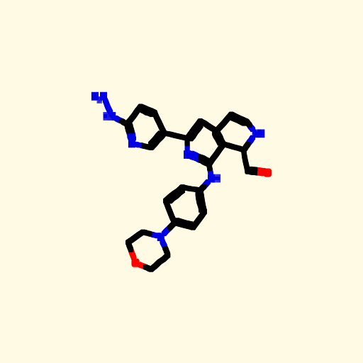 NNc1ccc(-c2cc3c(c(Nc4ccc(N5CCOCC5)cc4)n2)C(C=O)NC=C3)cn1